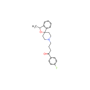 CC1OC2(CCN(CCCC(=O)c3ccc(F)cc3)CC2)c2ccccc21